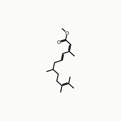 COC(=O)C=C(C)C=CCC(C)CCC(C)=C(C)C